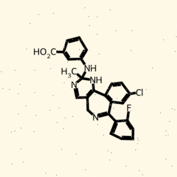 CC1(Nc2cccc(C(=O)O)c2)N=CC2=C(N1)c1ccc(Cl)cc1C(c1ccccc1F)=NC2